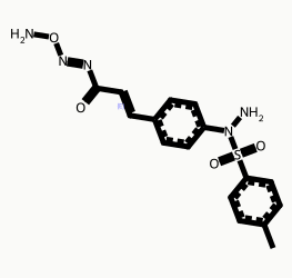 Cc1ccc(S(=O)(=O)N(N)c2ccc(/C=C/C(=O)N=NON)cc2)cc1